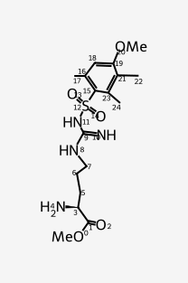 COC(=O)[C@@H](N)CCCNC(=N)NS(=O)(=O)c1c(C)cc(OC)c(C)c1C